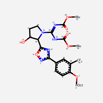 CCCCCCCCOc1ccc(-c2noc(C3C(O)CCN3/C(=N/C(=O)OC(C)(C)C)NC(=O)OC(C)(C)C)n2)cc1C(F)(F)F